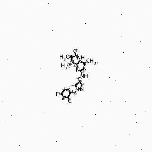 Cc1nc(NCc2cnn(Cc3ccc(F)cc3Cl)c2)nc2c1NC(=O)[C@H](C)N2C